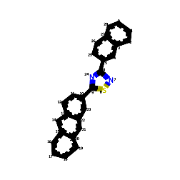 c1ccc2cc(-c3nsc(-c4ccc5cc6ccccc6cc5c4)n3)ccc2c1